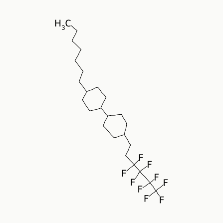 CCCCCCCC1CCC(C2CCC(CCC(F)(F)C(F)(F)C(F)(F)C(F)(F)F)CC2)CC1